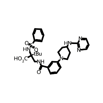 CC(C)(C)[C@](CNC(=O)c1cccc(N2CCC(Nc3ncccn3)CC2)c1)(NS(=O)(=O)c1ccccc1)C(=O)O